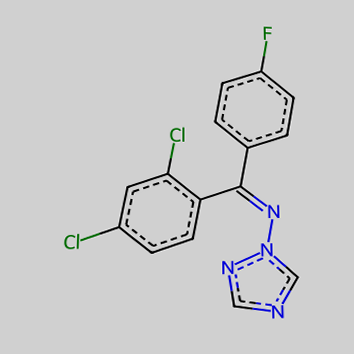 Fc1ccc(C(=Nn2cncn2)c2ccc(Cl)cc2Cl)cc1